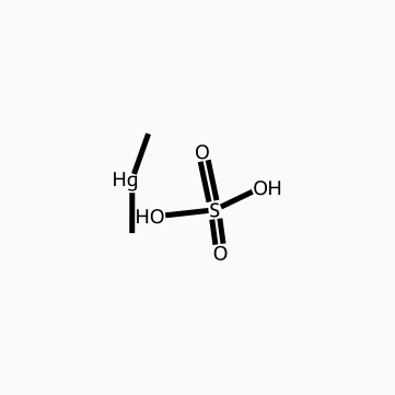 O=S(=O)(O)O.[CH3][Hg][CH3]